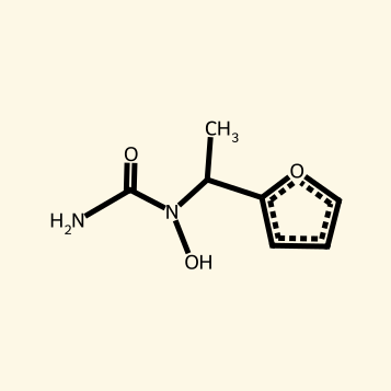 CC(c1ccco1)N(O)C(N)=O